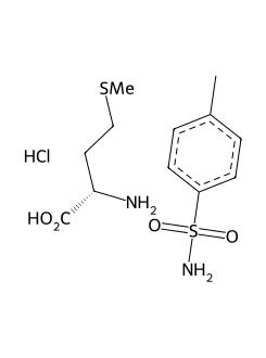 CSCC[C@H](N)C(=O)O.Cc1ccc(S(N)(=O)=O)cc1.Cl